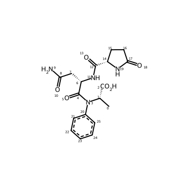 C[C@@H](C(=O)O)N(C(=O)[C@H](CC(N)=O)NC(=O)[C@@H]1CCC(=O)N1)c1ccccc1